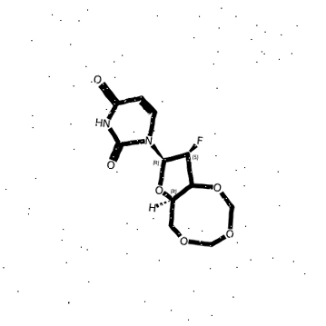 O=c1ccn([C@@H]2O[C@@H]3COCOCOC3[C@@H]2F)c(=O)[nH]1